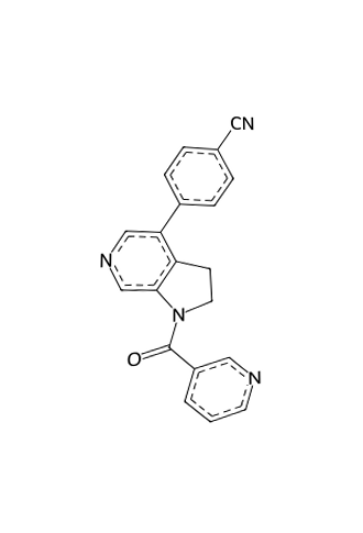 N#Cc1ccc(-c2cncc3c2CCN3C(=O)c2cccnc2)cc1